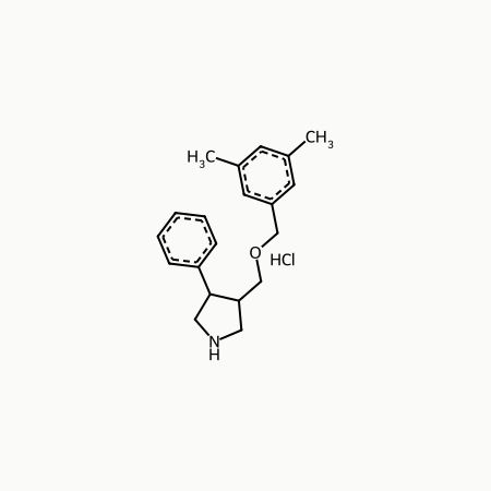 Cc1cc(C)cc(COCC2CNCC2c2ccccc2)c1.Cl